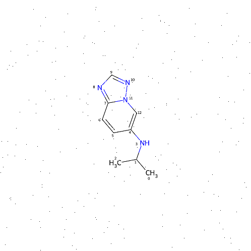 CC(C)Nc1ccc2ncnn2c1